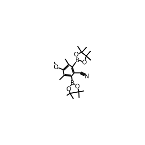 COc1c(C)c(B2OC(C)(C)C(C)(C)O2)c(C#N)c(B2OC(C)(C)C(C)(C)O2)c1C